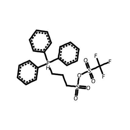 O=S(=O)(CCC[PH](c1ccccc1)(c1ccccc1)c1ccccc1)OS(=O)(=O)C(F)(F)F